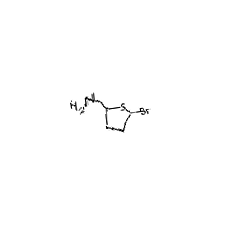 NC1CCC(Br)S1